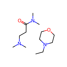 CCN1CCOCC1.CN(C)CCC(=O)N(C)C